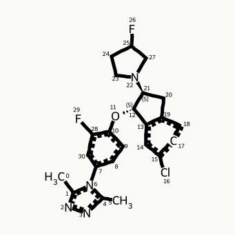 Cc1nnc(C)n1-c1ccc(O[C@H]2c3cc(Cl)ccc3C[C@@H]2N2CCC(F)C2)c(F)c1